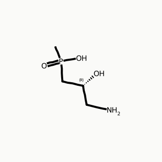 CP(=O)(O)C[C@H](O)CN